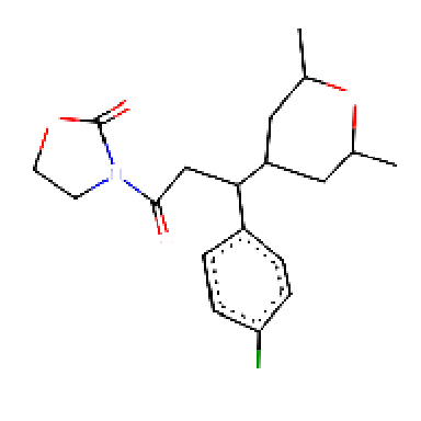 CC1CC(C(CC(=O)N2CCOC2=O)c2ccc(Cl)cc2)CC(C)O1